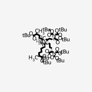 C[C@@H](CCCC[15n+]1[13cH]c(CC[C@H](C)C(=O)OC(C)(C)C)[13cH]c(CC[C@@H](C(=O)OC(C)(C)C)N(C(=O)OC(C)(C)C)C(=O)OC(C)(C)C)[13c]1CCC[C@@H](C(=O)OC(C)(C)C)N(C(=O)OC(C)(C)C)C(=O)OC(C)(C)C)C(=O)OC(C)(C)C